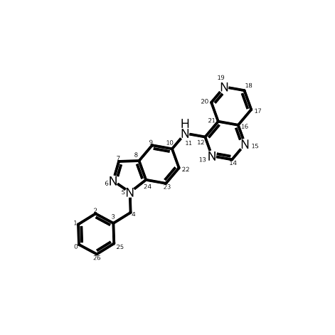 c1ccc(Cn2ncc3cc(Nc4ncnc5ccncc45)ccc32)cc1